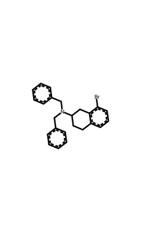 Brc1cccc2c1CC(N(Cc1ccccc1)Cc1ccccc1)CC2